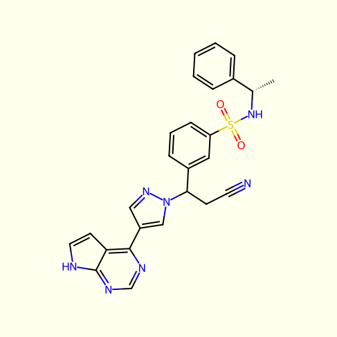 C[C@H](NS(=O)(=O)c1cccc(C(CC#N)n2cc(-c3ncnc4[nH]ccc34)cn2)c1)c1ccccc1